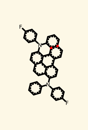 Fc1ccc(N(c2ccccc2)c2ccc3c4ccccc4c4c(N(c5ccccc5)c5ccc(F)cc5)ccc5ccc2c3c54)cc1